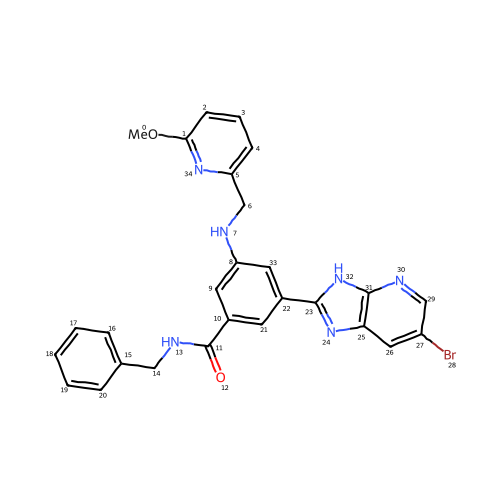 COc1cccc(CNc2cc(C(=O)NCc3ccccc3)cc(-c3nc4cc(Br)cnc4[nH]3)c2)n1